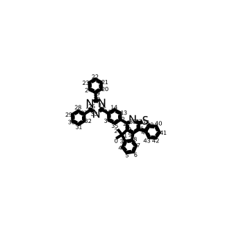 CC1(C)c2ccccc2-c2c1c(-c1ccc(-c3nc(-c4ccccc4)nc(-c4ccccc4)n3)cc1)nc1sc3ccccc3c21